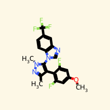 COc1cc(F)c(-c2c(C)nn(C)c2-n2cnc3cc(C(F)(F)F)ccc32)c(F)c1